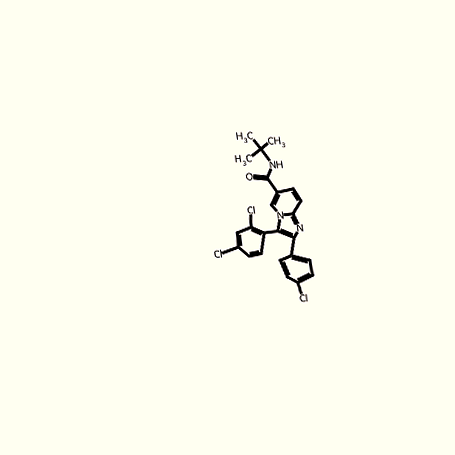 CC(C)(C)NC(=O)c1ccc2nc(-c3ccc(Cl)cc3)c(-c3ccc(Cl)cc3Cl)n2c1